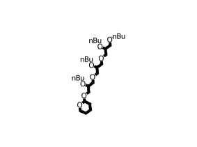 CCCCOCC(COCC(COCC(COC1CCCCO1)OCCCC)OCCCC)OCCCC